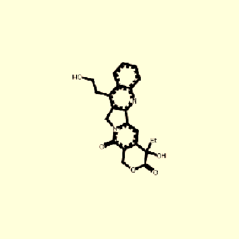 CCC1(O)C(=O)OCc2c1cc1n(c2=O)Cc2c-1nc1ccccc1c2CCO